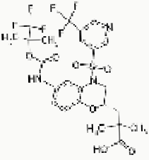 CC(C)(C[C@H]1CN(S(=O)(=O)c2cncc(C(F)(F)F)c2)c2cc(NC(=O)OC(C)(C)C(F)(F)F)ccc2O1)C(=O)O